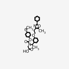 COc1ccc(OC(=O)N(CC(=O)O)C(C)c2cccc(OCCc3nc(-c4ccccc4)oc3C)c2)cc1